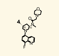 CN(C(=O)CN1CCOCC1)[C@H]1C[C@@H](C2CC2)CN(c2ccc(F)c3ncccc23)C1